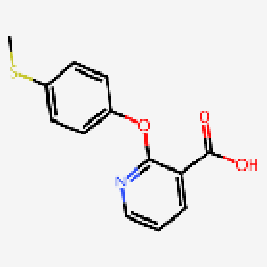 CSc1ccc(Oc2ncccc2C(=O)O)cc1